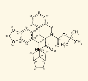 CC(C)(C)OC(=O)N1Cc2ccccc2CC1C(=O)NC1C2CCC1CN(Cc1ccc3c(c1)OCO3)C2